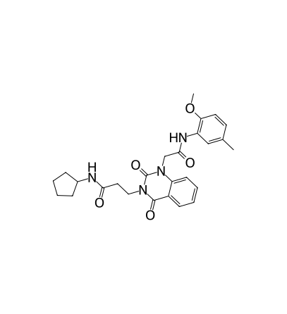 COc1ccc(C)cc1NC(=O)Cn1c(=O)n(CCC(=O)NC2CCCC2)c(=O)c2ccccc21